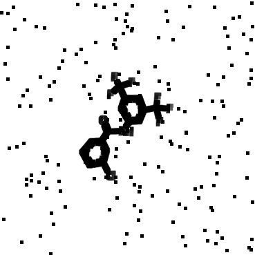 O=C(Nc1cc(C(F)(F)F)cc(C(F)(F)F)c1)c1cccc(Cl)c1